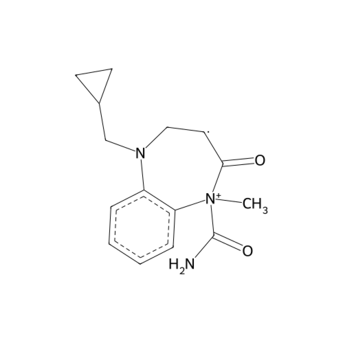 C[N+]1(C(N)=O)C(=O)[CH]CN(CC2CC2)c2ccccc21